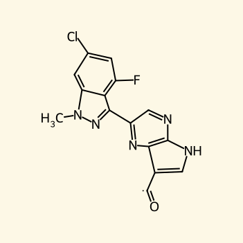 Cn1nc(-c2cnc3[nH]cc([C]=O)c3n2)c2c(F)cc(Cl)cc21